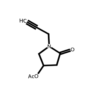 C#CCN1CC(OC(C)=O)CC1=O